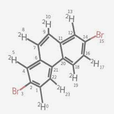 [2H]c1c(Br)c([2H])c2c([2H])c([2H])c3c([2H])c(Br)c([2H])c([2H])c3c2c1[2H]